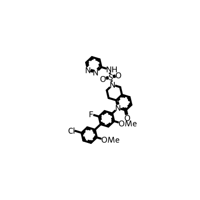 COc1ccc(Cl)cc1-c1cc(OC)c(-n2c3c(ccc2=O)CN(S(=O)(=O)Nc2cccnn2)CC3)cc1F